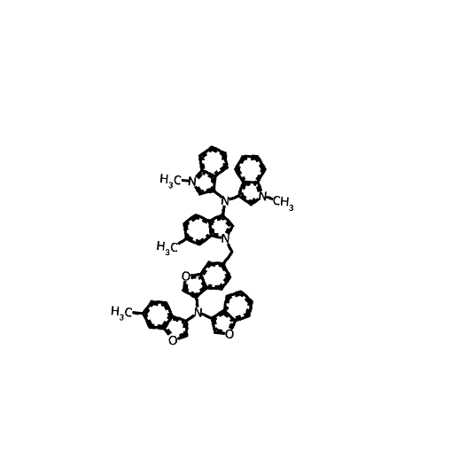 Cc1ccc2c(N(c3coc4ccccc34)c3coc4cc(Cn5cc(N(c6cn(C)c7ccccc67)c6cn(C)c7ccccc67)c6ccc(C)cc65)ccc34)coc2c1